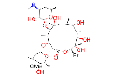 CC[C@H]1OC(=O)[C@H](C)[C@@H](O[C@H]2C[C@@](C)(OC)[C@@H](O)[C@H](C)O2)[C@H](C)[C@@H](O[C@@H]2O[C@H](C)C[C@H](N(C)C)[C@H]2O)C(C)(O)C[C@@H](C)C(O)[C@H](C)[C@@H](O)[C@]1(C)O